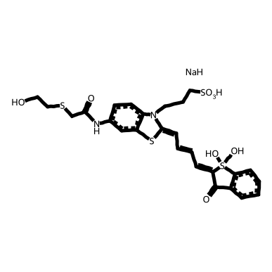 O=C(CSCCO)Nc1ccc2c(c1)SC(=CC=CC=C1C(=O)c3ccccc3S1(O)O)N2CCCS(=O)(=O)O.[NaH]